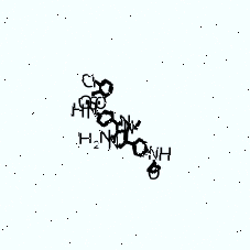 CCn1nc(-c2ccc(NS(=O)(=O)Cc3ccccc3Cl)cc2)c2c(N)ncc(C3=CC[C@@H](NC4COC4)CC3)c21